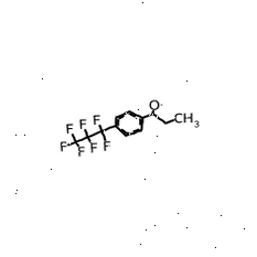 CCC([O])c1ccc(C(F)(F)C(F)(F)C(F)(F)F)cc1